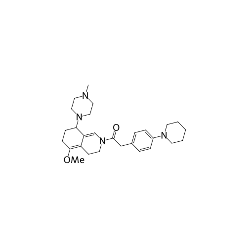 COC1=C2CCN(C(=O)Cc3ccc(N4CCCCC4)cc3)C=C2C(N2CCN(C)CC2)CC1